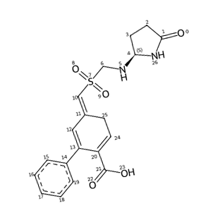 O=C1CC[C@H](NCS(=O)(=O)C=C2C=C(c3ccccc3)C(C(=O)O)=CC2)N1